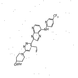 COC1CCN(c2cc(CF)c(-c3cnc4c(Nc5ccc(C(F)(F)F)cn5)ccnc4n3)nn2)CC1